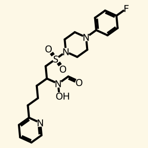 O=CN(O)C(CCCc1ccccn1)CS(=O)(=O)N1CCN(c2ccc(F)cc2)CC1